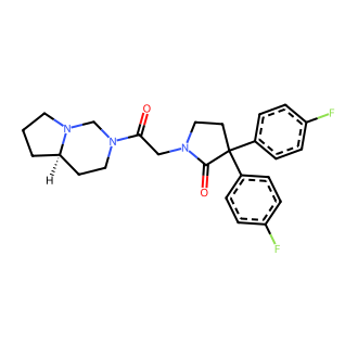 O=C(CN1CCC(c2ccc(F)cc2)(c2ccc(F)cc2)C1=O)N1CC[C@H]2CCCN2C1